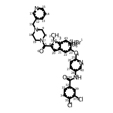 Br.Br.Cn1c(C(=O)N2CCN(Cc3cccnc3)CC2)cc2cc(Oc3ccc(NC(=O)c4ccc(Cl)c(Cl)c4)cn3)ccc21